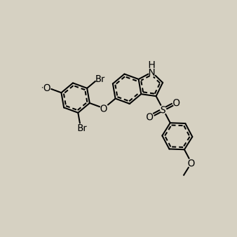 COc1ccc(S(=O)(=O)c2c[nH]c3ccc(Oc4c(Br)cc([O])cc4Br)cc23)cc1